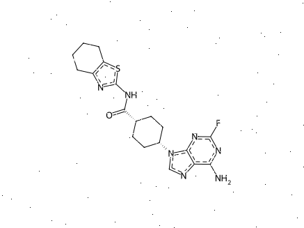 Nc1nc(F)nc2c1ncn2[C@H]1CC[C@@H](C(=O)Nc2nc3c(s2)CCCC3)CC1